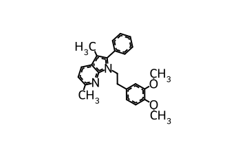 COc1ccc(CCn2c(-c3ccccc3)c(C)c3ccc(C)nc32)cc1OC